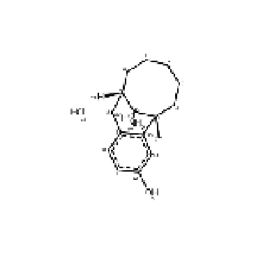 C[C@@]12CCCCC[C@@H](Cc3ccc(O)cc31)[C@@H]2N.Cl